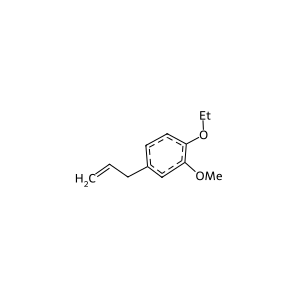 [CH2]Oc1cc(CC=C)ccc1OCC